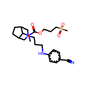 CN(C(=O)OCCCS(C)(=O)=O)C1C2CCC1CN(CCCNc1ccc(C#N)cc1)C2